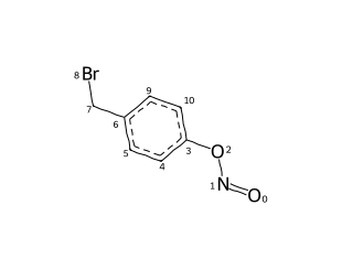 O=NOc1ccc(CBr)cc1